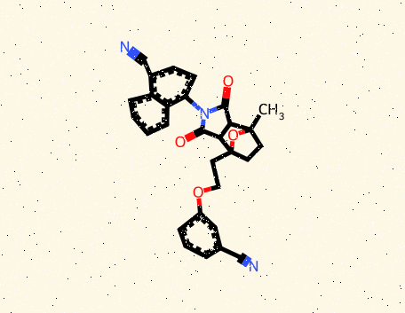 CC12CCC(CCOc3cccc(C#N)c3)(O1)C1C(=O)N(c3ccc(C#N)c4ccccc34)C(=O)C12